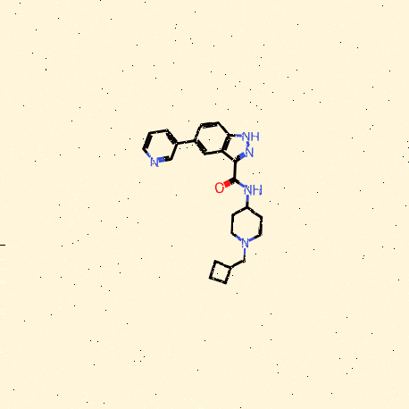 O=C(NC1CCN(CC2CCC2)CC1)c1n[nH]c2ccc(-c3cccnc3)cc12